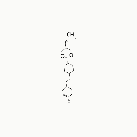 C/C=C/[C@H]1CO[C@H](C2CCC(CCC3CC=C(F)CC3)CC2)OC1